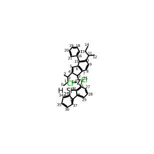 CCC(C)C1=Cc2c(ccc(C(C)CC)c2-c2ccccc2)[CH]1[Zr]([Cl])([Cl])[c]1cccc2c1[SiH2]c1ccccc1-2